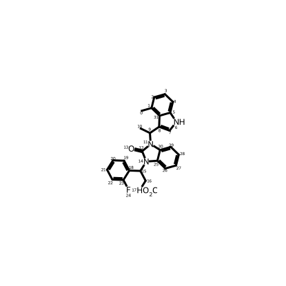 Cc1cccc2[nH]cc(C(C)n3c(=O)n(C(CC(=O)O)c4ccccc4F)c4ccccc43)c12